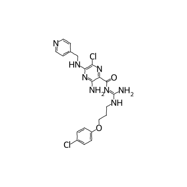 N/C(=N\C(=O)c1nc(Cl)c(NCc2ccncc2)nc1N)NCCCOc1ccc(Cl)cc1